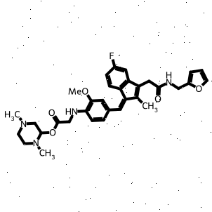 COc1cc(/C=C2/C(C)=C(CC(=O)NCc3ccco3)c3cc(F)ccc32)ccc1NCC(=O)OC1CN(C)CCN1C